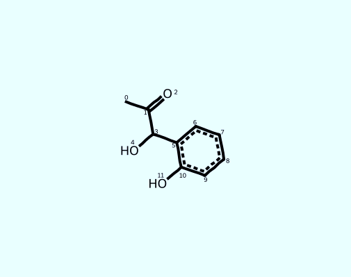 CC(=O)C(O)c1ccccc1O